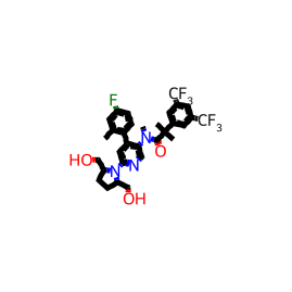 Cc1cc(F)ccc1-c1cc(N2C(CO)CCC2CO)ncc1N(C)C(=O)C(C)(C)c1cc(C(F)(F)F)cc(C(F)(F)F)c1